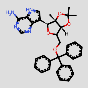 CC1(C)O[C@@H]2C(COC(c3ccccc3)(c3ccccc3)c3ccccc3)O[C@@H](c3c[nH]c4c(N)ncnc34)[C@]2(C)O1